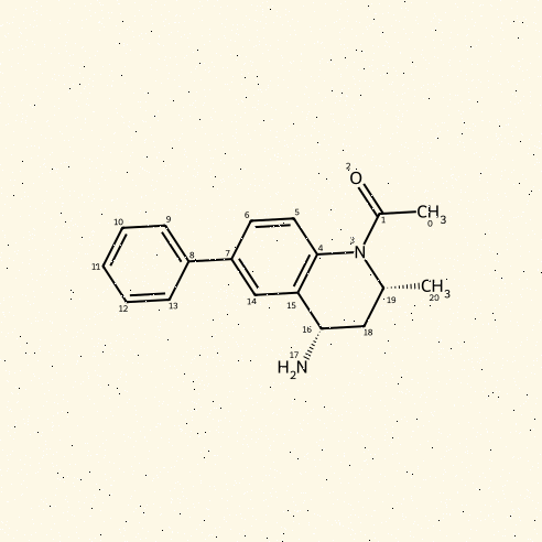 CC(=O)N1c2ccc(-c3ccccc3)cc2[C@@H](N)C[C@H]1C